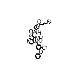 CN(C)C/C=C/C(=O)N1CC[C@@H](NC(=O)c2sc3nccc4c3c2NC(=O)N4c2ccc(Oc3ccccc3)c(Cl)c2)C1